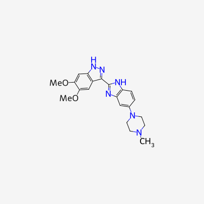 COc1cc2[nH]nc(-c3nc4cc(N5CCN(C)CC5)ccc4[nH]3)c2cc1OC